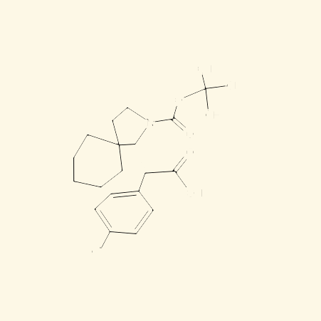 CC(C)(C)OC(=O)N1CCC2(CCCCC2)[C@H]1C(C(=O)O)c1ccc(Cl)cc1